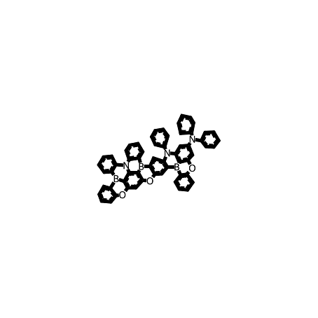 c1ccc(N(c2ccccc2)c2cc3c4c(c2)N(c2ccccc2)c2cc5c(cc2B4c2ccccc2O3)Oc2cc3c4c6c2B5c2ccccc2N6c2ccccc2B4c2ccccc2O3)cc1